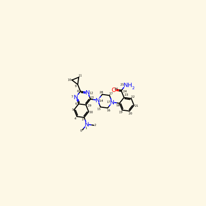 CN(C)c1ccc2nc(C3CC3)nc(N3CCN(c4ccccc4C(N)=O)CC3)c2c1